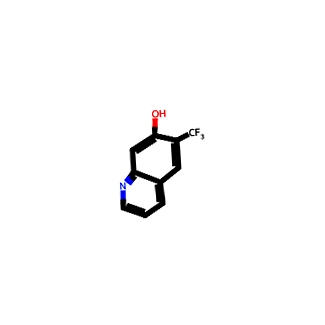 Oc1cc2ncccc2cc1C(F)(F)F